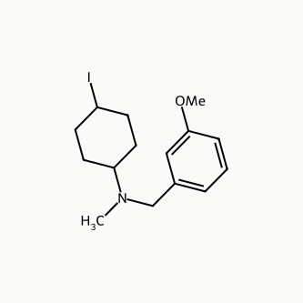 COc1cccc(CN(C)C2CCC(I)CC2)c1